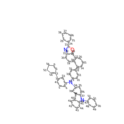 C1=CC(c2cccc(N(c3ccc(-c4cccc5c4ccc4nc(-c6ccccc6)oc45)cc3)c3ccc4c(c3)c3ccccc3n4-c3ccccc3)c2)=CCC1